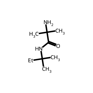 CCC(C)(C)NC(=O)C(C)(C)N